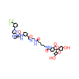 O=C(CCCCCNC(=O)c1ccc2c(c1)C(=O)OC21c2ccc(O)cc2Oc2cc(O)ccc21)NCc1ncc(-c2cccc(NC(=O)N3c4nc(-c5cccc(C(F)(F)F)c5)ccc4N4CC[C@H]3C4)c2)o1